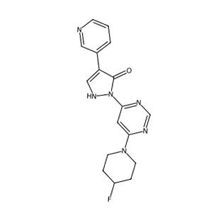 O=c1c(-c2cccnc2)c[nH]n1-c1cc(N2CCC(F)CC2)ncn1